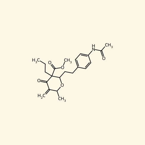 C=C1C(=O)C(CCC)(C(=O)OC)C(CCc2ccc(NC(C)=O)cc2)OC1C